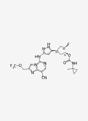 CC1(NC(=O)O[C@H]2C[C@@H](c3cc(Nc4ncc(C#N)c5nc(COC(F)(F)F)cn45)n[nH]3)C[C@H]2F)CC1